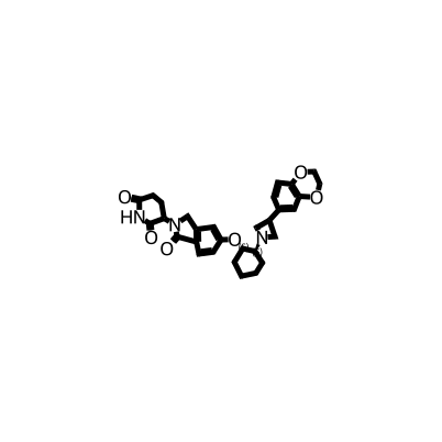 O=C1CCC(N2Cc3cc(O[C@H]4CCCC[C@@H]4N4CC(c5ccc6c(c5)OCCO6)C4)ccc3C2=O)C(=O)N1